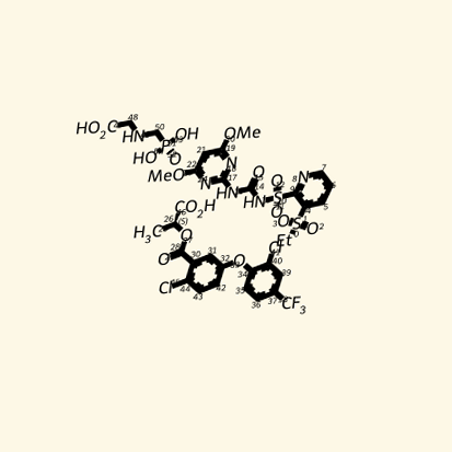 CCS(=O)(=O)c1cccnc1S(=O)(=O)NC(=O)Nc1nc(OC)cc(OC)n1.C[C@H](OC(=O)c1cc(Oc2ccc(C(F)(F)F)cc2Cl)ccc1Cl)C(=O)O.O=C(O)CNCP(=O)(O)O